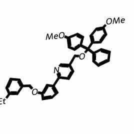 CCc1cccc(COc2cccc(-c3ccc(COC(c4ccccc4)(c4ccc(OC)cc4)c4ccc(OC)cc4)cn3)c2)c1